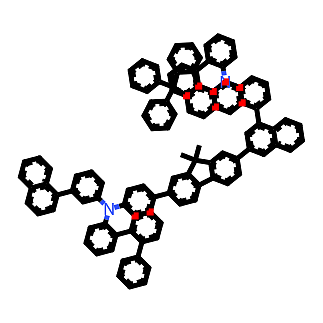 CC1(C)c2cc(-c3ccc(N(c4cccc(-c5cccc6ccccc56)c4)c4ccccc4-c4ccccc4-c4ccccc4)cc3)ccc2-c2ccc(-c3cc(-c4cccc(N(c5ccccc5-c5ccccc5-c5ccccc5)c5cccc6c5-c5ccccc5C6(c5ccccc5)c5ccccc5)c4)c4ccccc4c3)cc21